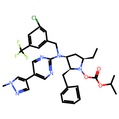 CC[C@@H]1C[C@H](N(Cc2cc(Cl)cc(C(F)(F)F)c2)c2ncc(-c3cnn(C)c3)cn2)[C@H](Cc2ccccc2)N1OC(=O)OC(C)C